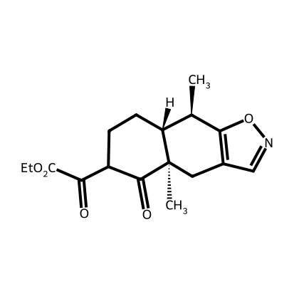 CCOC(=O)C(=O)C1CC[C@@H]2[C@@H](C)c3oncc3C[C@@]2(C)C1=O